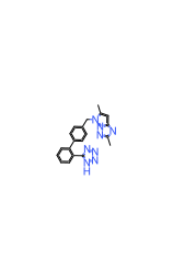 Cc1nc2cc(C)n(Cc3ccc(-c4ccccc4-c4nnn[nH]4)cc3)n2n1